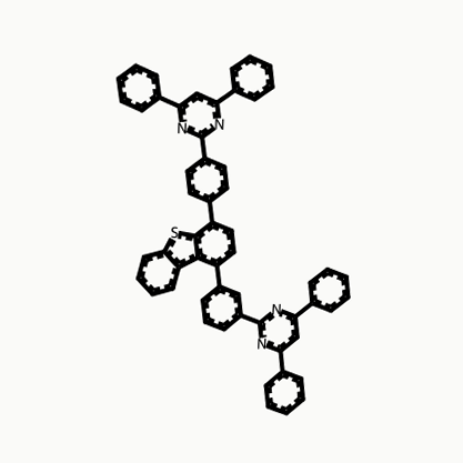 c1ccc(-c2cc(-c3ccccc3)nc(-c3ccc(-c4ccc(-c5cccc(-c6nc(-c7ccccc7)cc(-c7ccccc7)n6)c5)c5c4sc4ccccc45)cc3)n2)cc1